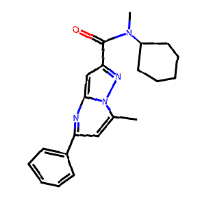 Cc1cc(-c2ccccc2)nc2cc(C(=O)N(C)C3CCCCC3)nn12